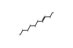 [CH2]CCCCCC=CCC